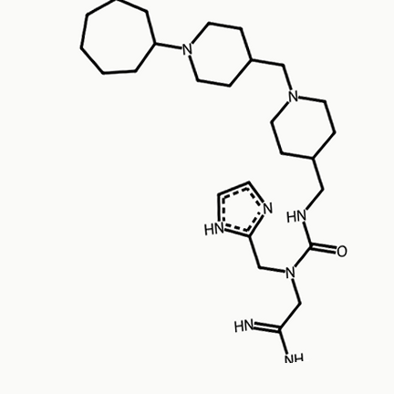 N=C(N)CN(Cc1ncc[nH]1)C(=O)NCC1CCN(CC2CCN(C3CCCCCC3)CC2)CC1